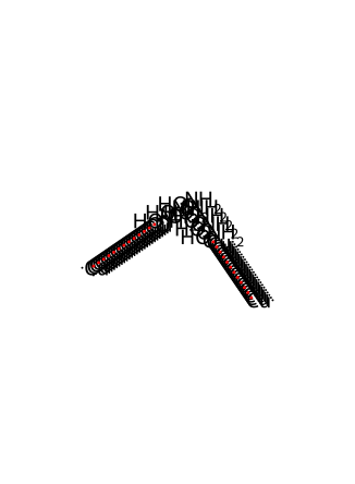 NCC(=O)O.NCC(=O)O.NCC(=O)O.NCC(=O)O.NCC(=O)O.NCC(=O)O.NCC(=O)O.[Cu].[Cu].[Cu].[Cu].[Cu].[Cu].[Cu].[Cu].[Cu].[Cu].[Cu].[Cu].[Cu].[Cu].[Cu].[Cu].[Cu].[Cu].[Cu].[Cu].[Cu].[Cu].[Cu].[Cu].[Cu].[Cu].[Cu].[Cu].[Cu].[Cu].[Cu].[Cu].[Cu].[Cu].[Cu].[Cu].[Cu].[Cu].[Cu].[Cu].[Cu].[Cu].[Cu].[Cu].[Cu].[Cu].[Cu].[Cu].[Cu].[Cu]